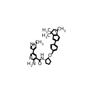 CN1CC(C)(C)c2cc(-c3ccc(CO[C@H]4CCC[C@@H]4NC(=O)c4cc(-c5cnn(C)c5)cnc4N)cc3)ccc21